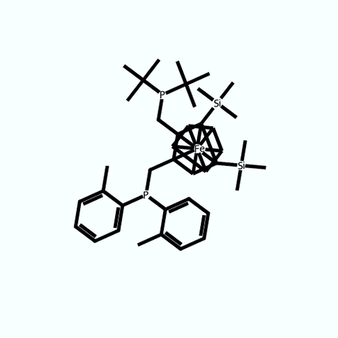 Cc1ccccc1P(C[C]12[CH]3[C]4([Si](C)(C)C)[C]5([Si](C)(C)C)[C]1(CP(C(C)(C)C)C(C)(C)C)[Fe]32451678[CH]2[CH]1[CH]6[CH]7[CH]28)c1ccccc1C